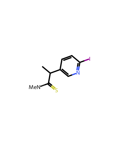 CNC(=S)C(C)c1ccc(I)nc1